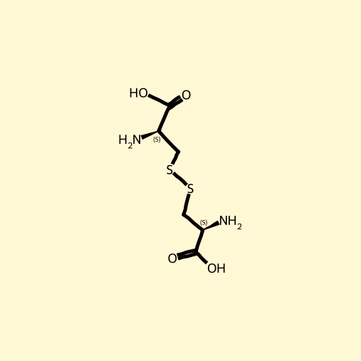 N[C@H](CSSC[C@@H](N)C(=O)O)C(=O)O